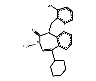 CC(=O)c1cccnc1CN1C(=O)[C@@H](N)N=C(C2CCCCC2)c2ccccc21